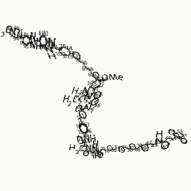 C=C1C[C@@H](C2OCCN2C(=O)OCc2ccc(NC(=O)[C@H](C)NC(=O)C(NC(=O)CCOCCOCCOCCOCCNC(=O)CCN3C(=O)C=CC3=O)C(C)C)cc2)N(C(=O)C2=CC(OC)=C(OCCCCCOC3CC=C(c4nc5ccc(-c6nc7cc(N8CCN(C)CC8)ccc7[nH]6)cc5[nH]4)CC3)CC2N)C1